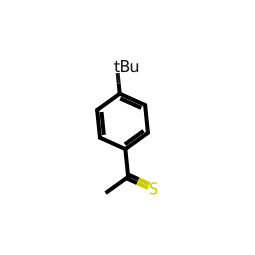 CC(=S)c1ccc(C(C)(C)C)cc1